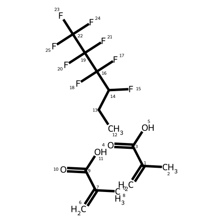 C=C(C)C(=O)O.C=C(C)C(=O)O.CCC(F)C(F)(F)C(F)(F)C(F)(F)F